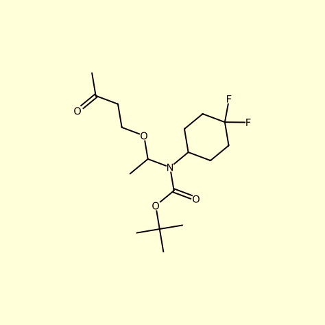 CC(=O)CCOC(C)N(C(=O)OC(C)(C)C)C1CCC(F)(F)CC1